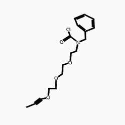 CC#COCCOCCOCCN(Cc1ccccc1)C(=O)Cl